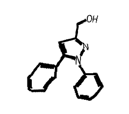 OCc1cc(-c2ccccc2)n(-c2ccccc2)n1